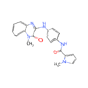 Cn1cccc1C(=O)Nc1ccc(Nc2nc3ccccc3n(C)c2=O)cc1